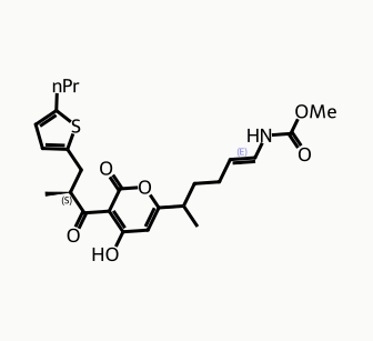 CCCc1ccc(C[C@H](C)C(=O)c2c(O)cc(C(C)CC/C=C/NC(=O)OC)oc2=O)s1